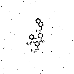 COc1cc(OC)cc(C(=O)N2CC[C@H](NCc3ccc4ccccc4n3)C[C@@H]2Cc2ccccc2)c1